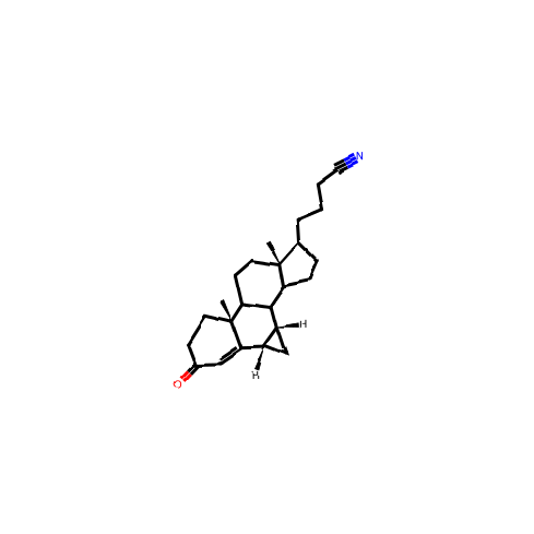 C[C@]12CCC3C(C1CCC2CCCC#N)[C@@H]1C[C@@H]1C1=CC(=O)CC[C@@]13C